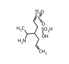 C=CCC(CC=C)C(C)N.O=S(=O)(O)O.O=S=O